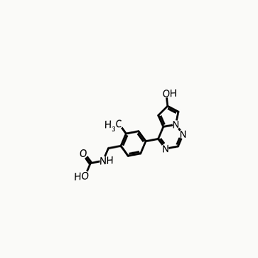 Cc1cc(-c2ncnn3cc(O)cc23)ccc1CNC(=O)O